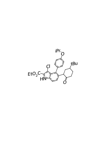 CCOC(=O)c1[nH]c2ccc(C3CC(C(C)(C)C)CCC3=O)c(-c3ccc(OC(C)C)cc3)c2c1Cl